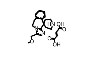 COCc1cnc2n1CCc1ccccc1C21CCNCC1.O=C(O)C=CC(=O)O